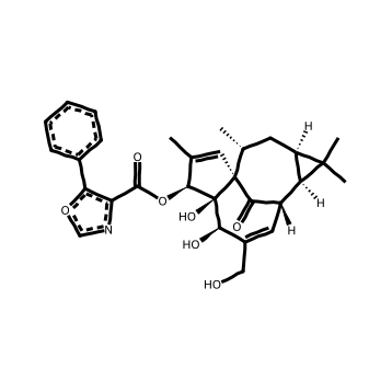 CC1=C[C@]23C(=O)[C@@H](C=C(CO)[C@@H](O)[C@]2(O)[C@H]1OC(=O)c1ncoc1-c1ccccc1)[C@H]1[C@@H](C[C@H]3C)C1(C)C